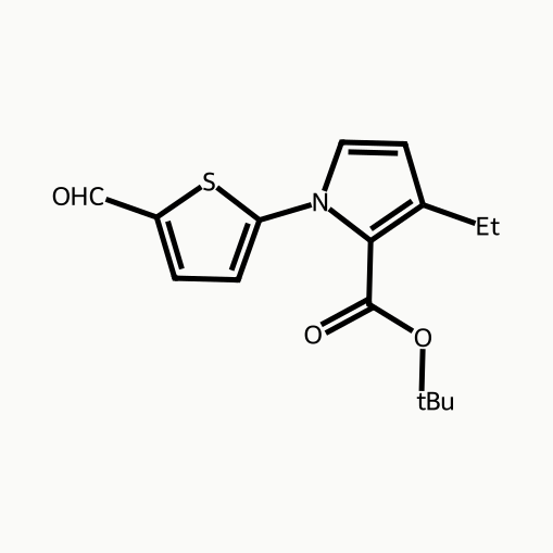 CCc1ccn(-c2ccc(C=O)s2)c1C(=O)OC(C)(C)C